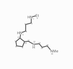 CCNCCCNC1CCCC1CNCCCNC